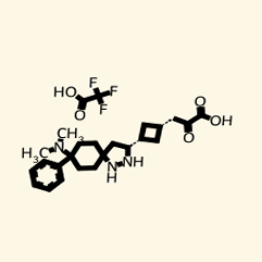 CN(C)C1(c2ccccc2)CCC2(CC1)CC([C@H]1C[C@@H](CC(=O)C(=O)O)C1)NN2.O=C(O)C(F)(F)F